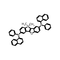 C[Si]1(C)c2ccc(N(c3ccccc3)c3cccc4ccccc34)cc2-c2oc3ccc(N(c4ccccc4)c4cccc5ccccc45)cc3c21